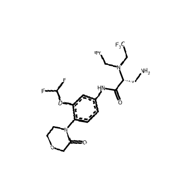 CC(C)CN(CC(F)(F)F)[C@H](CN)C(=O)Nc1ccc(N2CCOCC2=O)c(OC(F)F)c1